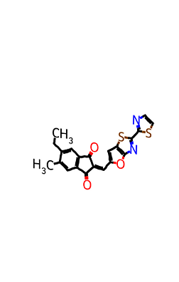 CCc1cc2c(cc1C)C(=O)/C(=C/c1cc3sc(-c4nccs4)nc3o1)C2=O